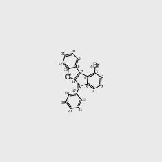 Brc1cccc2c1c1c3ccccc3oc1n2-c1ccccc1